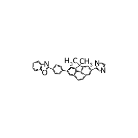 CC1(C)c2cc(-c3ccc(-c4nc5ccccc5o4)cc3)cc3ccc4cc(-c5cnccn5)cc1c4c23